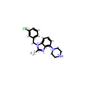 FC(F)(F)c1nc2c(N3CCNCC3)cccc2n1Cc1cccc(Cl)c1